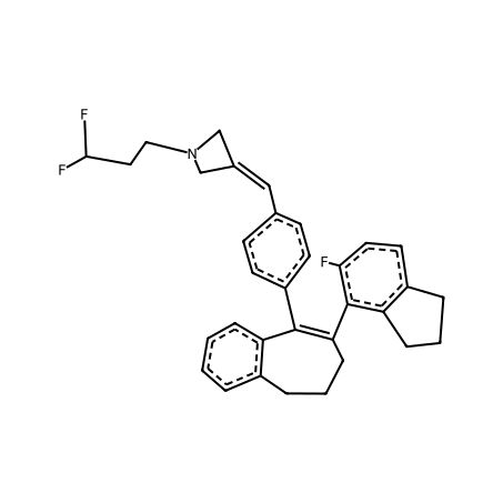 Fc1ccc2c(c1C1=C(c3ccc(C=C4CN(CCC(F)F)C4)cc3)c3ccccc3CCC1)CCC2